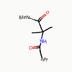 CCCC(=O)NC(C)(C)C(=O)NC